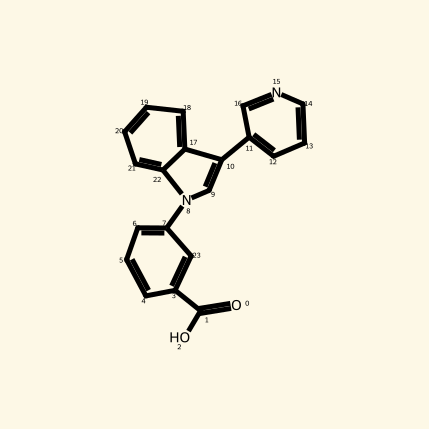 O=C(O)c1cccc(-n2cc(-c3cccnc3)c3ccccc32)c1